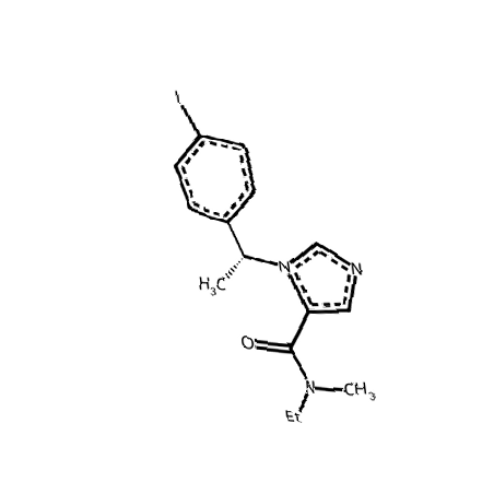 CCN(C)C(=O)c1cncn1[C@H](C)c1ccc(I)cc1